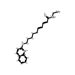 CC(C)CNC(=O)C=CC=CCCCCCOc1ccc2ccccc2n1